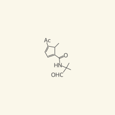 CC(=O)C1=CC=C(C(=O)NC(C)(C)C=O)C1C